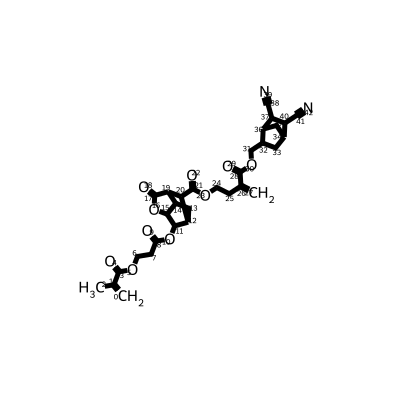 C=C(C)C(=O)OCCC(=O)OC1C2CC3C1OC(=O)C3C2C(=O)OCCC(=C)C(=O)OCC1CC2CC1C(C#N)C2C#N